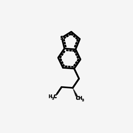 CC[C@@H](C)Cc1ccc2sccc2c1